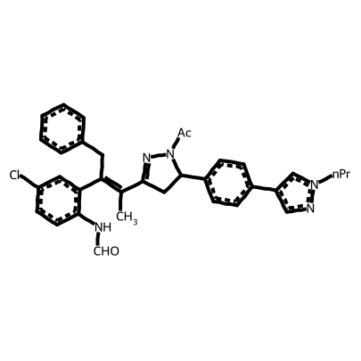 CCCn1cc(-c2ccc(C3CC(/C(C)=C(\Cc4ccccc4)c4cc(Cl)ccc4NC=O)=NN3C(C)=O)cc2)cn1